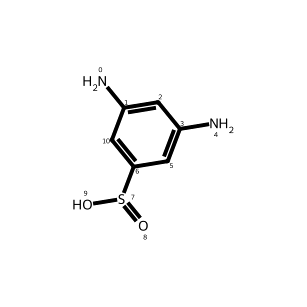 Nc1cc(N)cc(S(=O)O)c1